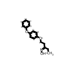 CCC(CCOc1ccc(Oc2ccccc2)cc1)=NO